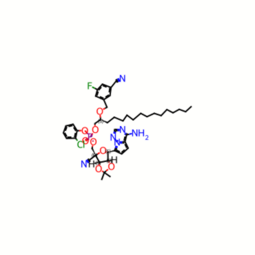 CCCCCCCCCCCCCC[C@@H](COP(=O)(OC[C@@]1(C#N)O[C@@H](c2ccc3c(N)ncnn23)[C@@H]2OC(C)(C)O[C@@H]21)Oc1ccccc1Cl)OCc1cc(F)cc(C#N)c1